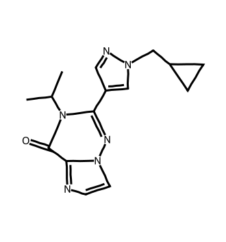 CC(C)n1c(-c2cnn(CC3CC3)c2)nn2ccnc2c1=O